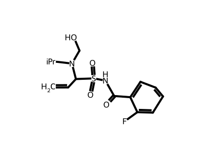 C=CC(N(CO)C(C)C)S(=O)(=O)NC(=O)c1ccccc1F